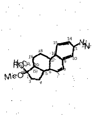 CO[C@]1(O)CCC2C3C=CC4=CC(N=[N])C=CC4C3CC[C@@]21C